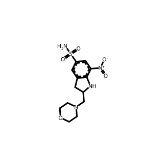 NS(=O)(=O)c1cc2c(c([N+](=O)[O-])c1)NC(CN1CCOCC1)C2